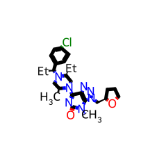 CC[C@@H]1CN(c2nc(=O)n(C)c3c2nnn3C[C@H]2CCCO2)[C@@H](C)CN1[C@@H](CC)c1ccc(Cl)cc1